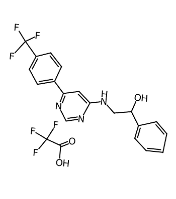 O=C(O)C(F)(F)F.OC(CNc1cc(-c2ccc(C(F)(F)F)cc2)ncn1)c1ccccc1